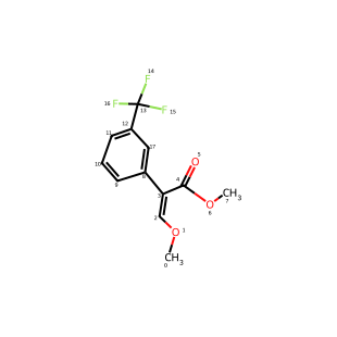 COC=C(C(=O)OC)c1cccc(C(F)(F)F)c1